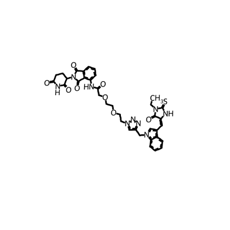 CCN1C(=O)C(=Cc2cn(Cc3cn(CCOCCOCC(=O)Nc4cccc5c4C(=O)N(C4CCC(=O)NC4=O)C5=O)nn3)c3ccccc23)NC1=S